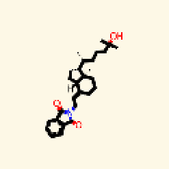 C[C@H](CCCC(C)(C)O)[C@H]1CC[C@H]2/C(=C/CN3C(=O)c4ccccc4C3=O)CCC[C@]12C